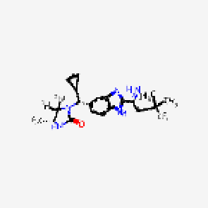 [2H]C1([2H])[C@@H](C(F)(F)F)NC(=O)N1[C@@H](c1ccc2[nH]c([C@@H](N)CC(C)(C)C(F)(F)F)nc2c1)C1CC1